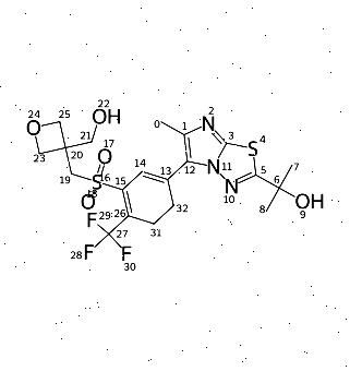 Cc1nc2sc(C(C)(C)O)nn2c1C1=CC(S(=O)(=O)CC2(CO)COC2)=C(C(F)(F)F)CC1